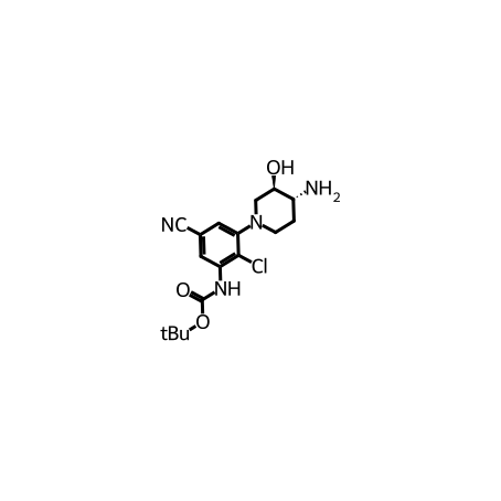 CC(C)(C)OC(=O)Nc1cc(C#N)cc(N2CC[C@@H](N)[C@H](O)C2)c1Cl